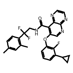 Cc1ccc(C(F)(F)CNC(=O)c2c(Oc3cccc(C4CC4)c3F)cnc3nccnc23)c(C)c1